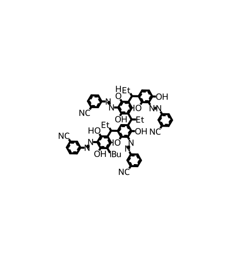 CCC(C)c1cc(C(CC)c2cc(C(CC)c3cc(C(CC)c4ccc(O)c(N=Nc5cccc(C#N)c5)c4O)c(O)c(N=Nc4cccc(C#N)c4)c3O)c(O)c(N=Nc3cccc(C#N)c3)c2O)c(O)c(N=Nc2cccc(C#N)c2)c1O